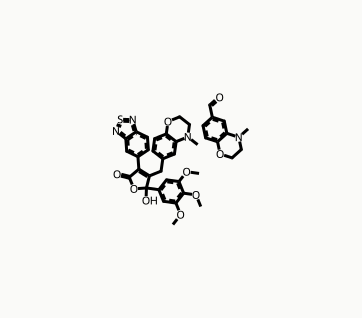 CN1CCOc2ccc(C=O)cc21.COc1cc(C2(O)OC(=O)C(c3ccc4nsnc4c3)=C2Cc2ccc3c(c2)N(C)CCO3)cc(OC)c1OC